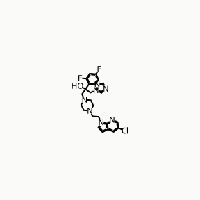 OC(CN1CCN(CCn2ccc3cc(Cl)cnc32)CC1)(Cn1cncn1)c1ccc(F)cc1F